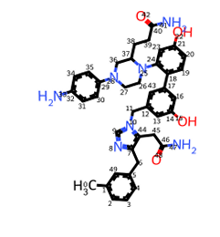 Cc1cccc(Cc2ncn(Cc3cc(O)cc(-c4ccc(O)cc4N4CCN(c5ccc(N)cc5)CC4CCC(N)=O)c3)c2CC(N)=O)c1